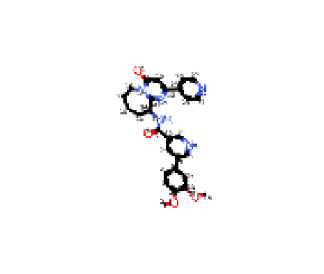 COc1ccc(-c2cncc(C(=O)NC3CCCCn4c3nc(-c3ccncc3)cc4=O)c2)cc1OC